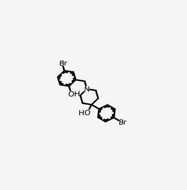 Oc1ccc(Br)cc1CN1CCC(O)(c2ccc(Br)cc2)CC1